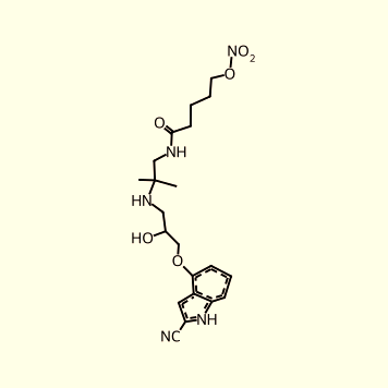 CC(C)(CNC(=O)CCCCO[N+](=O)[O-])NCC(O)COc1cccc2[nH]c(C#N)cc12